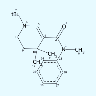 CN(C(=O)C1=CN(C(C)(C)C)CCC1(C)C)c1ccccc1